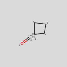 C1CCC1.C=O